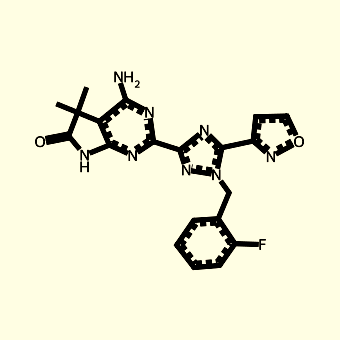 CC1(C)C(=O)Nc2nc(-c3nc(-c4ccon4)n(Cc4ccccc4F)n3)nc(N)c21